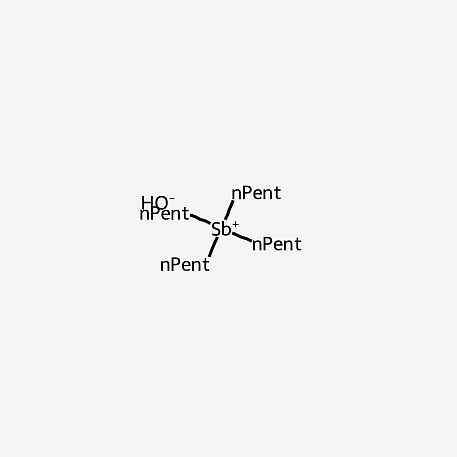 CCCC[CH2][Sb+]([CH2]CCCC)([CH2]CCCC)[CH2]CCCC.[OH-]